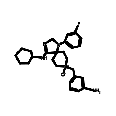 Nc1cccc(C[N+]2([O-])CCC3(CC2)C(NC2CCCCC2)=NCN3c2cccc(F)c2)c1